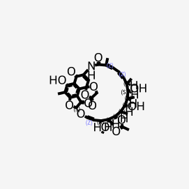 CO[C@H]1/C=C\O[C@@]2(C)Oc3c(C)c(O)c4c(c3C2=O)C2(C=C(NC(=O)/C(C)=C\C=C/[C@H](C)[C@H](O)[C@@H](C)[C@@H](O)[C@@H](C)[C@H](OC(C)=O)[C@@H]1C)C4=O)OCC(=O)O2